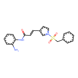 Nc1ccccc1NC(=O)/C=C/c1ccn(S(=O)(=O)Cc2ccccc2)c1